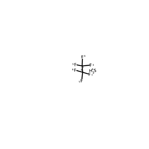 FC(F)(F)C(F)(F)F.S